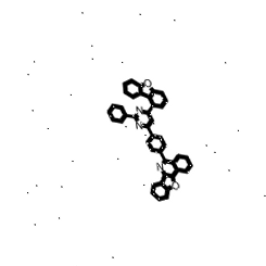 c1ccc(-c2nc(-c3ccc(-c4nc5c6ccccc6oc5c5ccccc45)cc3)cc(-c3cccc4oc5ccccc5c34)n2)cc1